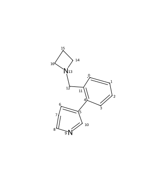 [c]1cccc(-c2cccnc2)c1CN1CCC1